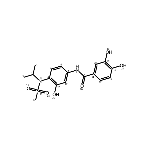 CC(C)N(c1ccc(NC(=O)c2ccc(O)c(O)c2)cc1O)S(C)(=O)=O